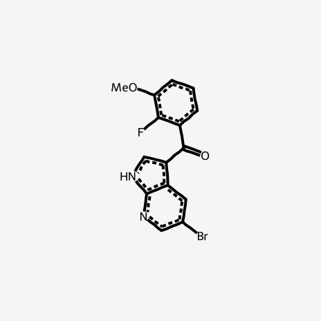 COc1cccc(C(=O)c2c[nH]c3ncc(Br)cc23)c1F